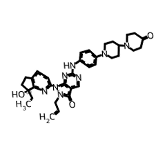 C=CCn1c(=O)c2cnc(Nc3ccc(N4CCC(N5CCC(=O)CC5)CC4)cc3)nc2n1-c1ccc2c(n1)[C@](O)(CC)CC2